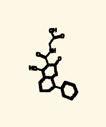 O=C(O)CNC(=O)c1c(O)c2cccc(-c3ccccc3)c2sc1=O